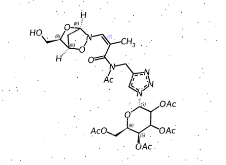 CC(=O)OC[C@H]1O[C@H](n2cc(CN(C(C)=O)C(=O)/C(C)=C\N3O[C@@H]4C[C@H]3O[C@@H]4CO)nn2)C(OC(C)=O)C(OC(C)=O)[C@H]1OC(C)=O